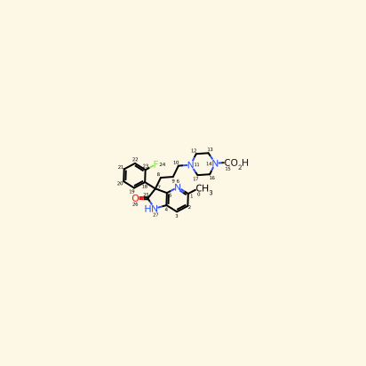 Cc1ccc2c(n1)C(CCCN1CCN(C(=O)O)CC1)(c1ccccc1F)C(=O)N2